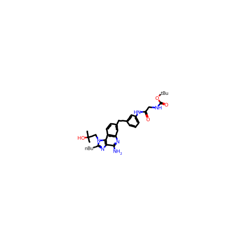 CCCCc1nc2c(N)nc3cc(Cc4cccc(NC(=O)CNC(=O)OC(C)(C)C)c4)ccc3c2n1CC(C)(C)O